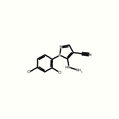 N#Cc1cnn(-c2ccc(Cl)cc2Cl)c1NN